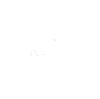 Cc1nc(C)nc(N2[C@H](C)CN([C@@H]3CN[C@H](C(=O)N4CCC(F)(F)C4)C3)C[C@@H]2C)n1